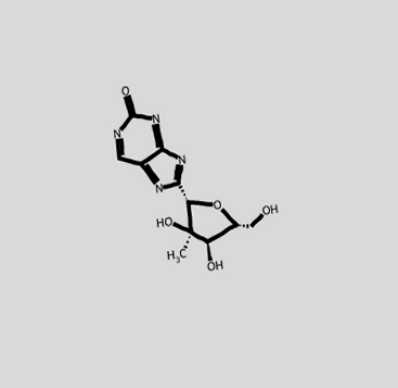 C[C@@]1(O)[C@H](O)[C@@H](CO)O[C@H]1C1=NC2=NC(=O)N=CC2=N1